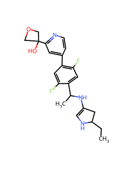 CCC1CC(NC(C)c2cc(F)c(-c3ccnc(C4(O)COC4)c3)cc2F)=CN1